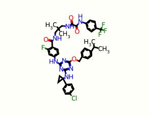 CC(C)c1ccc(COc2nc(Nc3ccc(C(=O)NCC(C)(C)CNC(=O)C(=O)Nc4ccc(C(F)(F)F)cc4)c(F)c3)nc(NC3(c4ccc(Cl)cc4)CC3)n2)cc1